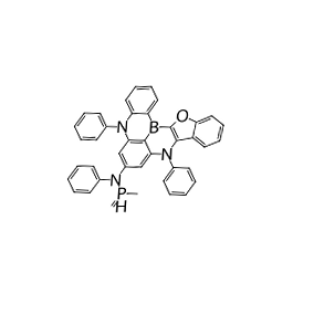 C=[PH](C)N(c1ccccc1)c1cc2c3c(c1)N(c1ccccc1)c1c(oc4ccccc14)B3c1ccccc1N2c1ccccc1